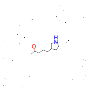 CC(=O)CCCC1CCNC1